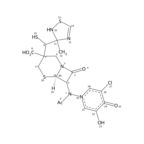 CC(=O)N(C1C(=O)N2CC(C(=O)O)(C(S)C3(C)N=CSN3)CS[C@H]12)n1cc(O)c(=O)c(Cl)c1